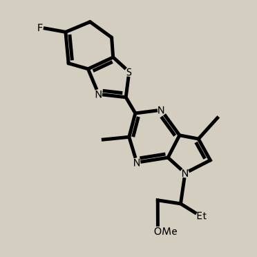 CCC(COC)n1cc(C)c2nc(-c3nc4c(s3)CCC(F)=C4)c(C)nc21